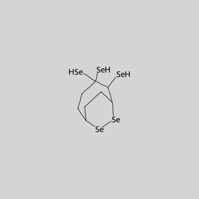 [SeH]C1C2CCC(CCC1([SeH])[SeH])[Se][Se]2